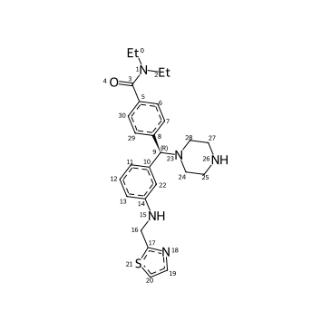 CCN(CC)C(=O)c1ccc([C@H](c2cccc(NCc3nccs3)c2)N2CCNCC2)cc1